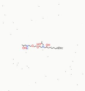 CCCCCCCCCCCCCCCC(O)CN(CCOCCOCCNCC(C)O)CC(C)O